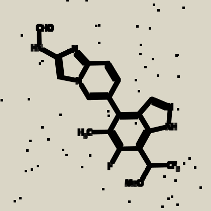 COC(c1c(F)c(C)c(-c2ccc3nc(NC=O)cn3c2)c2cn[nH]c12)C(F)(F)F